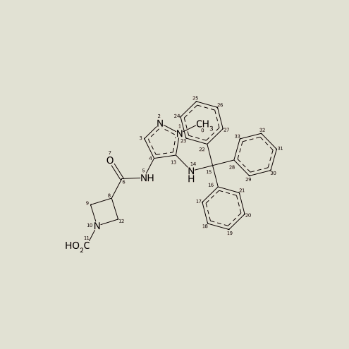 Cn1ncc(NC(=O)C2CN(C(=O)O)C2)c1NC(c1ccccc1)(c1ccccc1)c1ccccc1